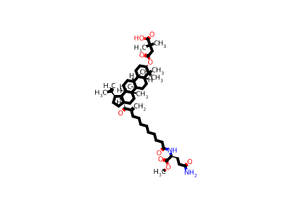 C=C(CCCCCCCCC(=O)N[C@@H](CCC(N)=O)C(=O)OC)C(=O)[C@]12CC[C@@H](C(=C)C)[C@@H]1[C@H]1CC[C@@H]3[C@@]4(C)CC[C@H](OC(=O)CC(C)(C)C(=O)O)C(C)(C)[C@@H]4CC[C@@]3(C)[C@]1(C)CC2